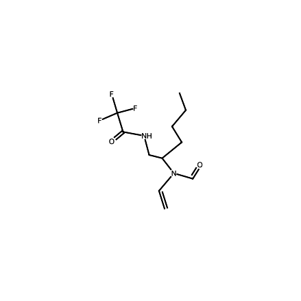 C=CN(C=O)C(CCCC)CNC(=O)C(F)(F)F